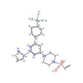 C=CS(=O)(=O)N1CCN(c2cc(-c3ccc(C(F)(F)F)cc3)nc(-c3ccsn3)n2)CC1